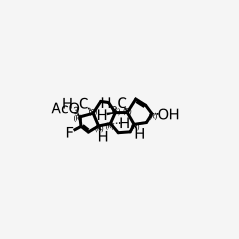 CC(=O)O[C@H]1C(F)=C[C@H]2[C@@H]3CC[C@@H]4C[C@@H](O)C=C[C@]4(C)[C@H]3CC[C@]12C